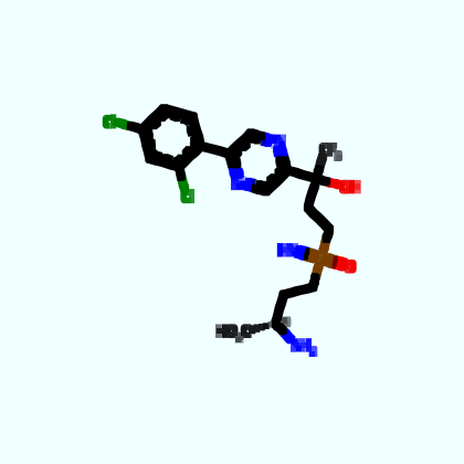 N=S(=O)(CC[C@H](N)C(=O)O)CCC(O)(c1cnc(-c2ccc(Cl)cc2Cl)cn1)C(F)(F)F